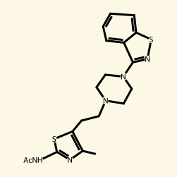 CC(=O)Nc1nc(C)c(CCN2CCN(c3nsc4ccccc34)CC2)s1